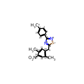 Cc1ccc(-c2nsc(Cc3cc(C)c([N+](=O)[O-])cc3C)n2)cc1